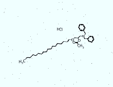 CCCCCCCCCCCCCCCCCCOCC(CN(Cc1ccccc1)Cc1ccccc1)OC(C)=O.Cl